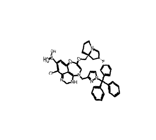 OB(O)c1cc2c3c(c1Cl)=NCNC=3N(Cc1ccn(C(c3ccccc3)(c3ccccc3)c3ccccc3)n1)C=C(OC[C@@]13CCCN1C[C@H](F)C3)O2